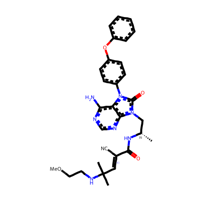 COCCNC(C)(C)/C=C(\C#N)C(=O)N[C@@H](C)Cn1c(=O)n(-c2ccc(Oc3ccccc3)cc2)c2c(N)ncnc21